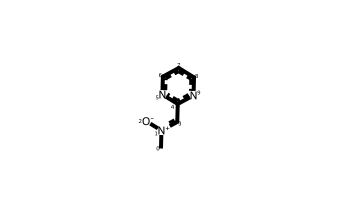 C[N+]([O-])=Cc1ncccn1